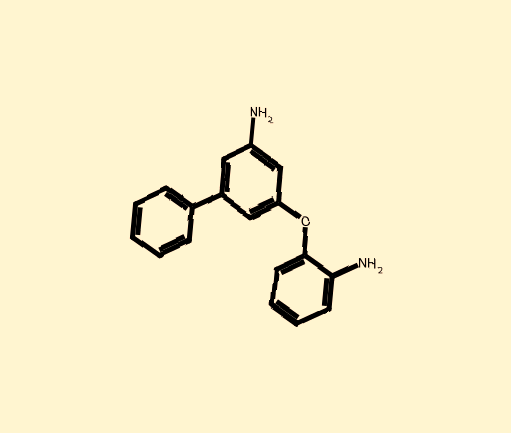 Nc1cc(Oc2ccccc2N)cc(-c2ccccc2)c1